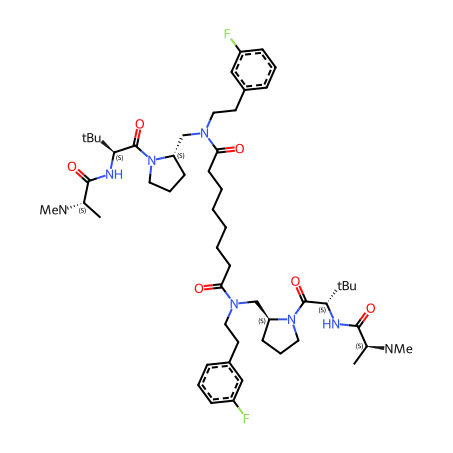 CN[C@@H](C)C(=O)N[C@H](C(=O)N1CCC[C@H]1CN(CCc1cccc(F)c1)C(=O)CCCCCCC(=O)N(CCc1cccc(F)c1)C[C@@H]1CCCN1C(=O)[C@@H](NC(=O)[C@H](C)NC)C(C)(C)C)C(C)(C)C